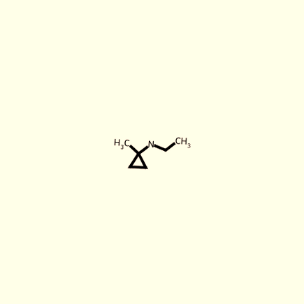 CC[N]C1(C)CC1